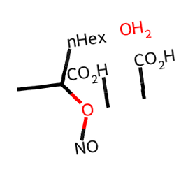 CC(=O)O.CC(=O)O.CCCCCCC(C)ON=O.O